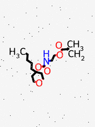 C=C(C)C(=O)OCCNC(=O)OC1(CCCCC)CCOCC1